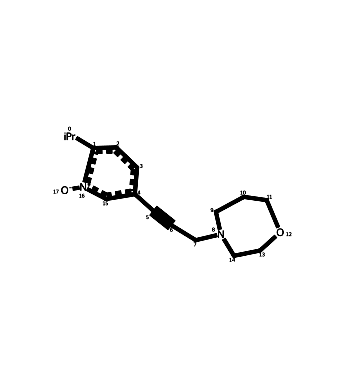 CC(C)c1ccc(C#CCN2CCCOCC2)c[n+]1[O-]